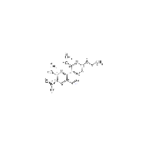 CCOc1cc(/C=C\c2ccc(OC)c([N+](=O)[O-])c2)cc(OC)c1